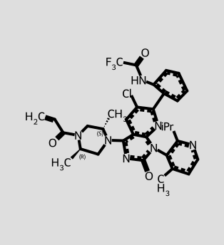 C=CC(=O)N1C[C@H](C)N(c2nc(=O)n(-c3c(C)ccnc3C(C)C)c3nc(-c4ccccc4NC(=O)C(F)(F)F)c(Cl)cc23)C[C@H]1C